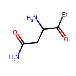 CCC(=O)C(N)CC(N)=O